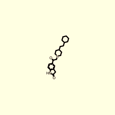 O=C1Cc2cc(C(=O)CN3CCC(CCC4CCCCC4)CC3)ccc2N1